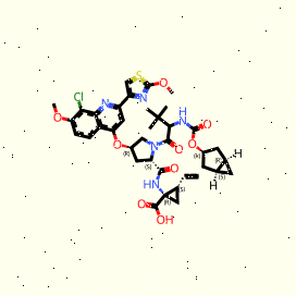 C=C[C@@H]1C[C@]1(NC(=O)[C@@H]1C[C@@H](Oc2cc(-c3csc(OC)n3)nc3c(Cl)c(OC)ccc23)CN1C(=O)C(NC(=O)O[C@@H]1C[C@@H]2C[C@@H]2C1)C(C)(C)C)C(=O)O